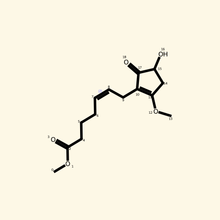 COC(=O)CCC/C=C\CC1=C(OC)CC(O)C1=O